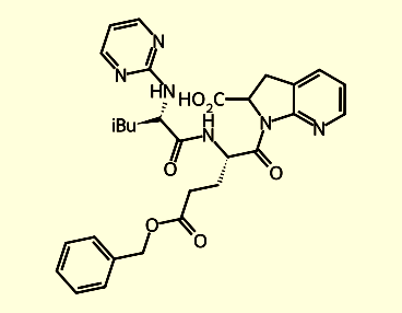 CC[C@H](C)[C@H](Nc1ncccn1)C(=O)N[C@@H](CCC(=O)OCc1ccccc1)C(=O)N1c2ncccc2CC1C(=O)O